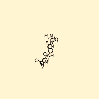 CCn1cc(Cl)c2cc(C(=O)NC3CCc4nc(N5CC(N)C(C)(OC)C5)c(F)cc4C3)nnc21